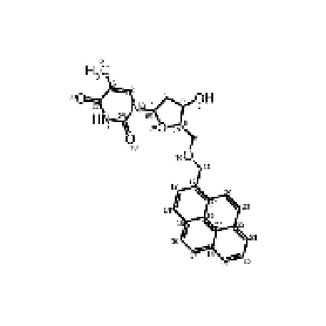 Cc1cn([C@H]2CC(O)[C@@H](COCc3ccc4ccc5cccc6ccc3c4c56)O2)c(=O)[nH]c1=O